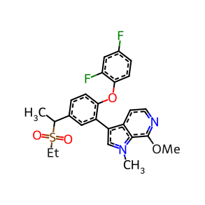 CCS(=O)(=O)C(C)c1ccc(Oc2ccc(F)cc2F)c(-c2cn(C)c3c(OC)nccc23)c1